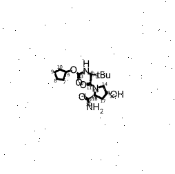 CC(C)(C)[C@H](NC(=O)OC1CCCC1)C(=O)N1C[C@H](O)C[C@H]1C(N)=O